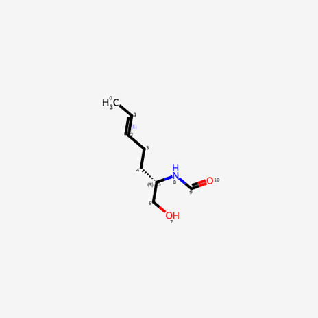 C/C=C/CC[C@@H](CO)NC=O